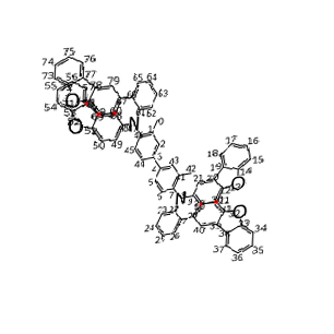 Cc1cc(-c2ccc(N(c3ccc4oc5ccccc5c4c3)c3ccccc3-c3ccc4oc5ccccc5c4c3)c(C)c2)ccc1N(c1ccc2oc3ccccc3c2c1)c1ccccc1-c1ccc2oc3ccccc3c2c1